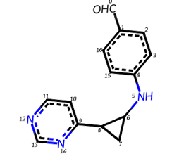 O=Cc1ccc(NC2CC2c2ccncn2)cc1